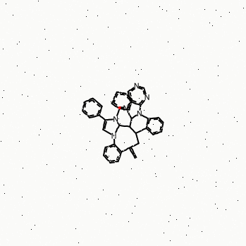 C=C1CC2c3ccccc3N3c4ncncc4N(C)C3C2C2N(C=C(c3ccccc3)N2c2ccccc2)c2ccccc21